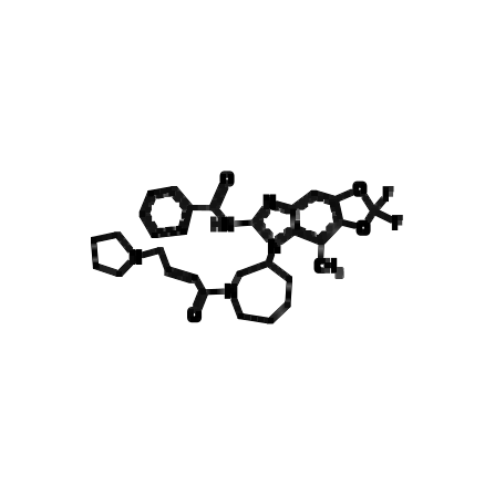 Cc1c2c(cc3nc(NC(=O)c4ccccc4)n(C4CCCCN(C(=O)/C=C/CN5CCCC5)C4)c13)OC(F)(F)O2